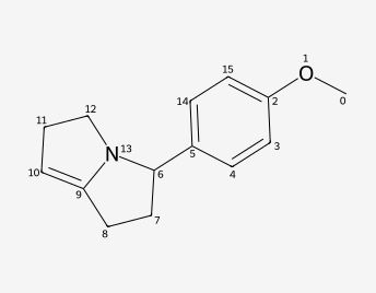 COc1ccc(C2CCC3=CCCN32)cc1